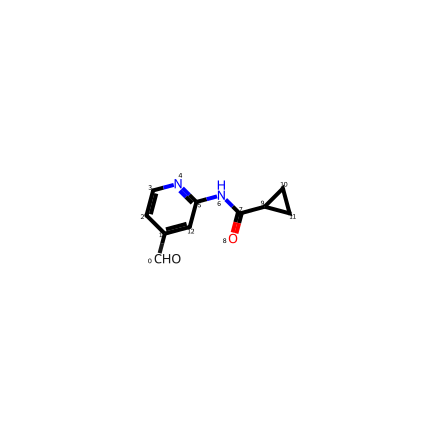 O=Cc1ccnc(NC(=O)C2CC2)c1